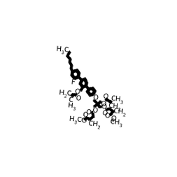 C=C(C)C(=O)OCc1cc(-c2ccc(CCCCCCC)cc2F)ccc1-c1ccc(OCC(COC(=O)CC(=C)C(=O)OC)(COC(=O)CC(=C)C(=O)OC)COC(=O)C(=C)C)cc1